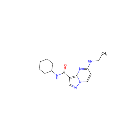 CCNc1ccn2ncc(C(=O)NC3CCCCC3)c2n1